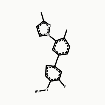 Cc1ccn(-c2cc(-c3ccc(OC(C)C)c(F)c3)ccc2C)n1